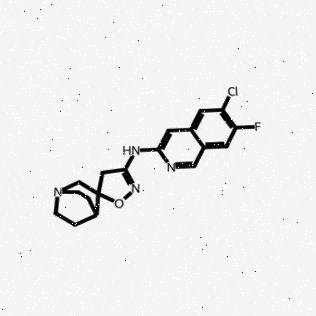 Fc1cc2cnc(NC3=NOC4(C3)CN3CCC4CC3)cc2cc1Cl